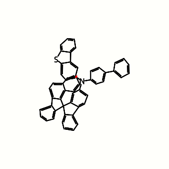 c1ccc(-c2ccc(N(c3ccc4c(c3)C3(c5ccccc5-4)c4ccccc4-c4ccc5ccccc5c43)c3ccc4sc5ccccc5c4c3)cc2)cc1